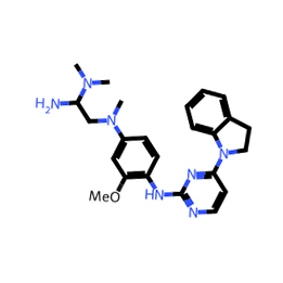 COc1cc(N(C)CC(N)N(C)C)ccc1Nc1nccc(N2CCc3ccccc32)n1